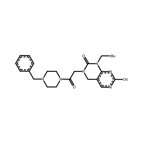 CC(C)(C)CN1C(=O)N(CC(=O)N2CCN(Cc3ccccc3)CC2)Cc2cnc(C#N)nc21